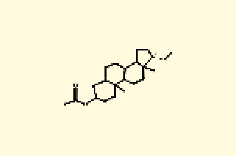 CC[C@H]1CCC2C3CCC4CC(OC(C)=O)CCC4(C)C3CCC21C